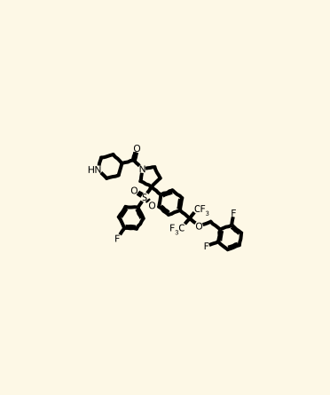 O=C(C1CCNCC1)N1CCC(c2ccc(C(OCc3c(F)cccc3F)(C(F)(F)F)C(F)(F)F)cc2)(S(=O)(=O)c2ccc(F)cc2)C1